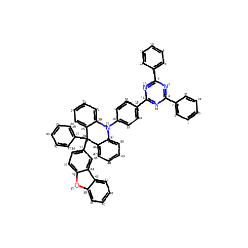 c1ccc(-c2nc(-c3ccccc3)nc(-c3ccc(N4c5ccccc5C(c5ccccc5)(c5ccc6oc7ccccc7c6c5)c5ccccc54)cc3)n2)cc1